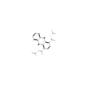 CC(O)NC(C)c1ccc(C(C)NC(C)O)c2c1C(=O)c1c(O)ccc(O)c1C2=O